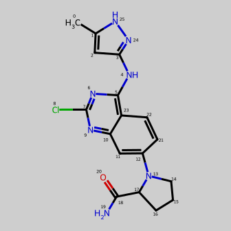 Cc1cc(Nc2nc(Cl)nc3cc(N4CCCC4C(N)=O)ccc23)n[nH]1